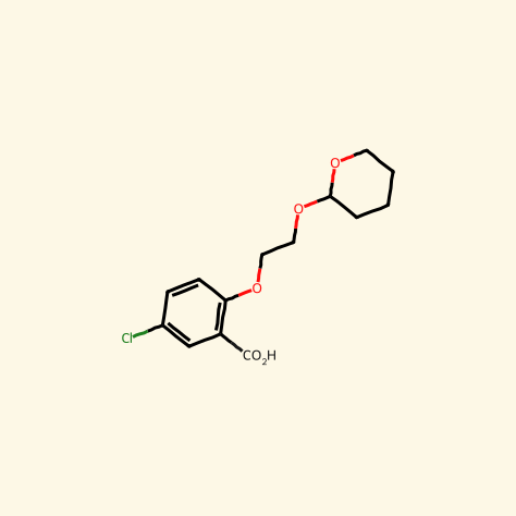 O=C(O)c1cc(Cl)ccc1OCCOC1CCCCO1